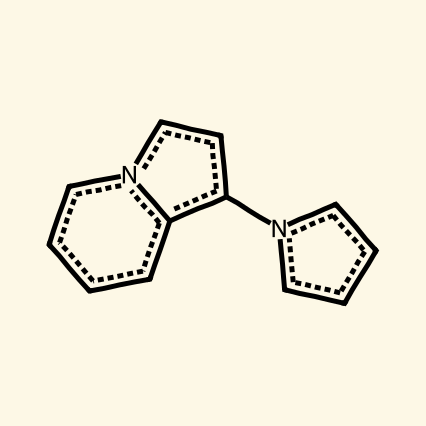 c1ccn2ccc(-n3cccc3)c2c1